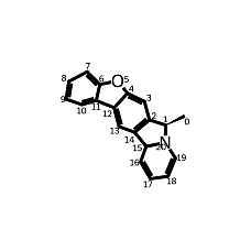 C[C@@H]1c2cc3oc4ccccc4c3cc2C2C=CC=CN21